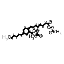 CCCCCCC1CCC(CCCCCCCC(=O)OOC(C)=O)C(C(=O)OOC(C)=O)C1